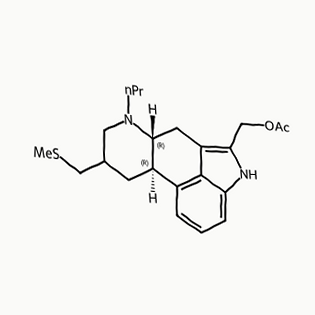 CCCN1CC(CSC)C[C@@H]2c3cccc4[nH]c(COC(C)=O)c(c34)C[C@H]21